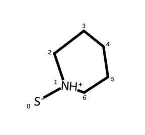 [S-][NH+]1CCCCC1